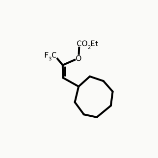 CCOC(=O)OC(=CC1CCCCCCC1)C(F)(F)F